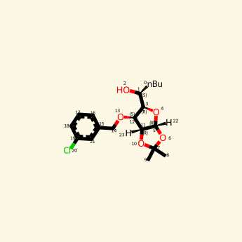 CCCC[C@H](O)[C@H]1O[C@@H]2OC(C)(C)O[C@@H]2[C@H]1OCc1cccc(Cl)c1